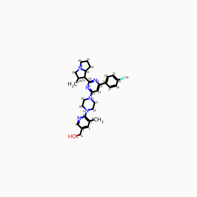 Cc1cc(CO)cnc1N1CCN(c2cc(-c3ccc(F)cc3)nc(C3C(C)CN4CCCC34)n2)CC1